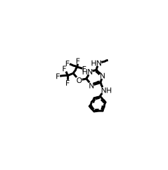 CNC1=NC(Nc2ccccc2)=NC(OC(C(F)(F)F)C(F)(F)F)N1